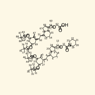 C=C1C(=CC=C2CCC[C@]3(C)C([C@H](C)OCC(=O)N4CCCCC4)=CCC23)C[C@@H](O[Si](C)(C)C(C)(C)C)C[C@@H]1O[Si](C)(C)C(C)(C)C.C=C1C(=CC=C2CCC[C@]3(C)C([C@H](C)OCC(=O)O)=CCC23)C[C@@H](O[Si](C)(C)C(C)(C)C)C[C@@H]1O[Si](C)(C)C(C)(C)C